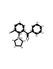 Cc1cccc(C(=O)c2ccccc2)c1N1CCCC1